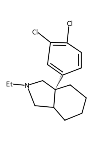 CCN1CC2CCCC[C@]2(c2ccc(Cl)c(Cl)c2)C1